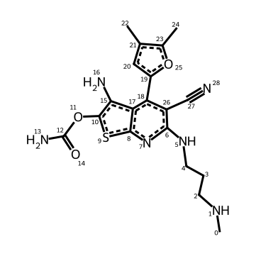 CNCCCNc1nc2sc(OC(N)=O)c(N)c2c(-c2cc(C)c(C)o2)c1C#N